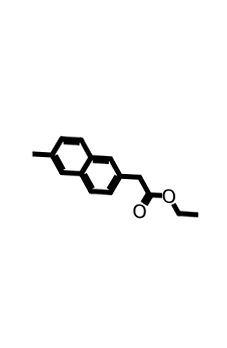 CCOC(=O)Cc1ccc2cc(C)ccc2c1